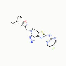 CC(C)c1cc(CN2CCc3sc(Nc4ncc(F)cn4)nc3-c3c[nH]nc32)no1